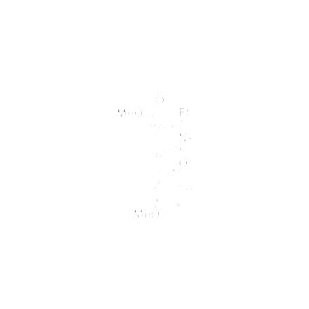 CCc1nc(Oc2ccc(OC)cc2)ccc1C(=O)OC